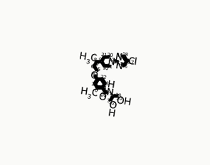 Cc1cc(OCC[C@@H](C)C2CCN(c3ncc(Cl)cn3)CC2)ccc1C(=O)NC(CO)CO